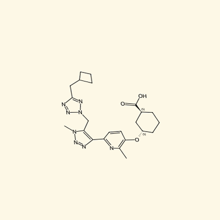 Cc1nc(-c2nnn(C)c2Cn2nnc(CC3CCC3)n2)ccc1O[C@H]1CCC[C@H](C(=O)O)C1